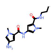 [CH2]CCNC(=O)c1cc(NC(=O)c2cc(N)cn2C)cn1C